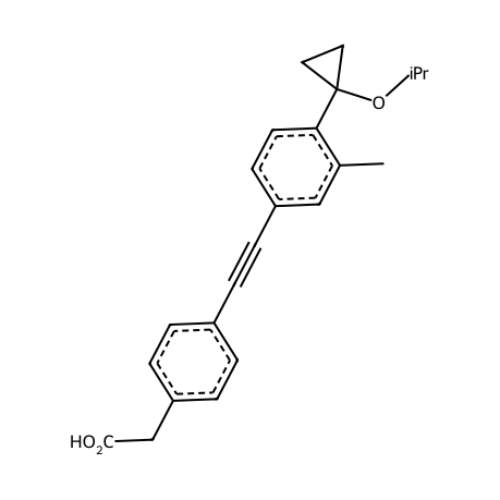 Cc1cc(C#Cc2ccc(CC(=O)O)cc2)ccc1C1(OC(C)C)CC1